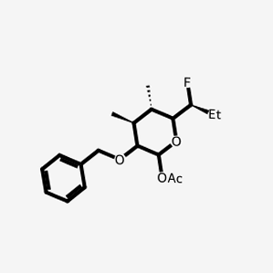 CC[C@H](F)C1OC(OC(C)=O)C(OCc2ccccc2)[C@@H](C)[C@@H]1C